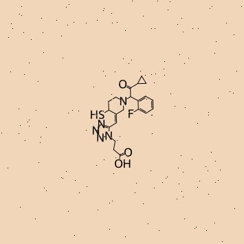 O=C(O)CCn1nnnc1/C=C1/CN(C(C(=O)C2CC2)c2ccccc2F)CCC1S